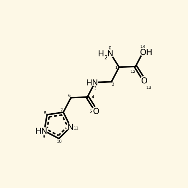 NC(CNC(=O)Cc1c[nH]cn1)C(=O)O